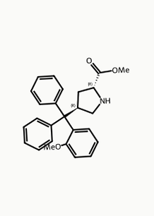 COC(=O)[C@H]1C[C@H](C(c2ccccc2)(c2ccccc2)c2ccccc2OC)CN1